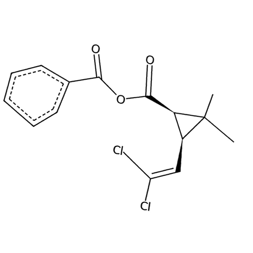 CC1(C)[C@H](C(=O)OC(=O)c2ccccc2)[C@@H]1C=C(Cl)Cl